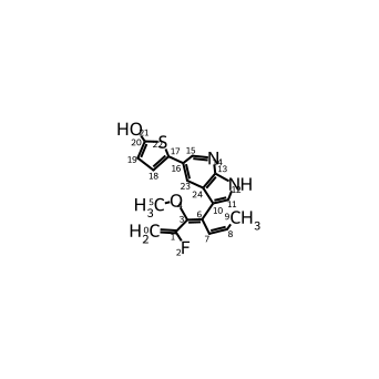 C=C(F)/C(OC)=C(\C=C/C)c1c[nH]c2ncc(-c3ccc(O)s3)cc12